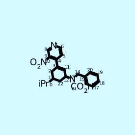 CC(C)C1CC(c2ccncc2[N+](=O)[O-])=CC(N(Cc2ccccc2)C(=O)O)C1